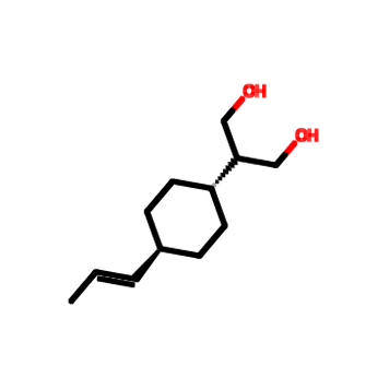 CC=C[C@H]1CC[C@H](C(CO)CO)CC1